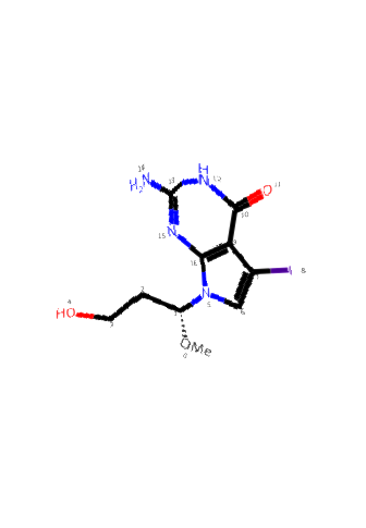 CO[C@H](CCO)n1cc(I)c2c(=O)[nH]c(N)nc21